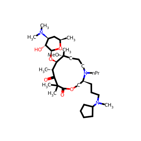 CCCN1CCC[C@@](C)(OC)[C@H](O[C@@H]2O[C@H](C)C[C@H](N(C)C)[C@H]2O)[C@@H](C)C(=O)C(C)(C)C(=O)OC[C@@H]1CCCN(C)C1CCCC1